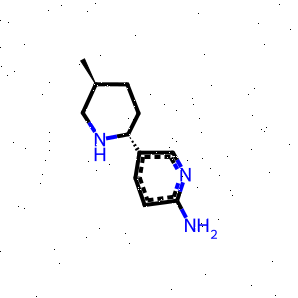 C[C@H]1CC[C@H](c2ccc(N)nc2)NC1